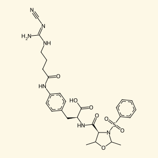 CC1OC(C)N(S(=O)(=O)c2ccccc2)[C@@H]1C(=O)N[C@@H](Cc1ccc(NC(=O)CCCN/C(N)=N/C#N)cc1)C(=O)O